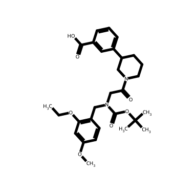 CCOc1cc(OC)ccc1CN(CC(=O)N1CCCC(c2cccc(C(=O)O)c2)C1)C(=O)OC(C)(C)C